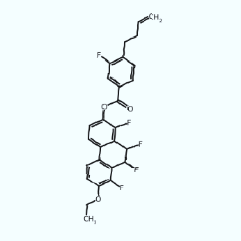 C=CCCc1ccc(C(=O)Oc2ccc3c(c2F)C(F)C(F)c2c-3ccc(OCC)c2F)cc1F